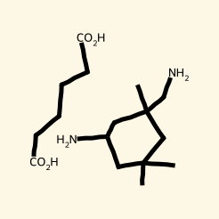 CC1(C)CC(N)CC(C)(CN)C1.O=C(O)CCCCC(=O)O